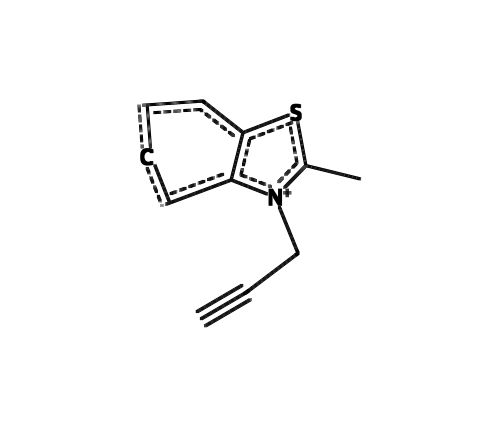 C#CC[n+]1c(C)sc2ccccc21